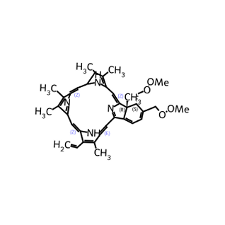 C=Cc1c(C)/c2[nH]/c1=C\C1=NC(=C\C3NC(=C(C)C3C)/C=C3N=C(/C=2)C2=CC=C(COOC)[C@@H](COOC)[C@]2\3C)/C(C)=C1C